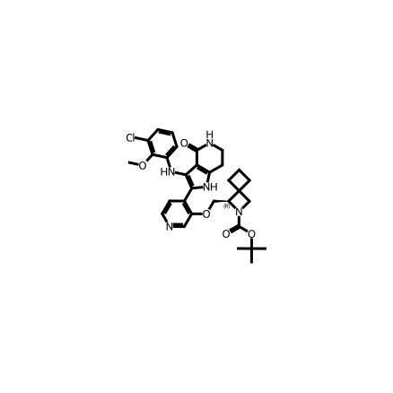 COc1c(Cl)cccc1Nc1c(-c2ccncc2OC[C@@H]2N(C(=O)OC(C)(C)C)CC23CCC3)[nH]c2c1C(=O)NCC2